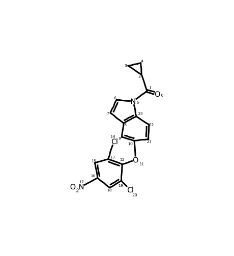 O=C(C1CC1)n1ccc2cc(Oc3c(Cl)cc([N+](=O)[O-])cc3Cl)ccc21